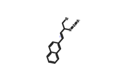 [N-]=[N+]=NC(/C=C/c1ccc2ccccc2c1)CBr